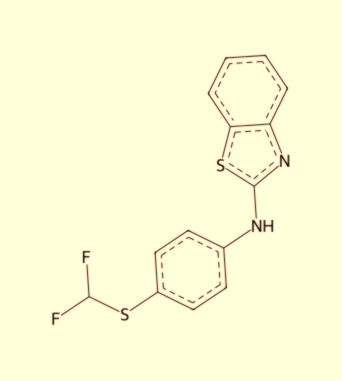 FC(F)Sc1ccc(Nc2nc3ccccc3s2)cc1